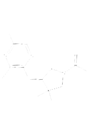 CC(=O)N1CC(Oc2ncc(I)nc2C)C(F)(F)C1